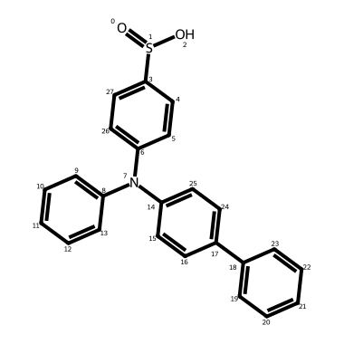 O=S(O)c1ccc(N(c2ccccc2)c2ccc(-c3ccccc3)cc2)cc1